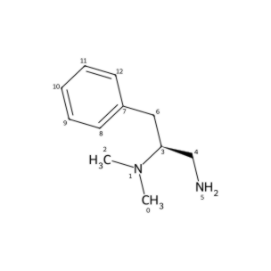 CN(C)[C@H](CN)Cc1ccccc1